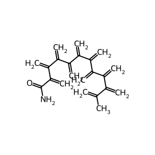 C=C(C)C(=C)C(=C)C(=C)C(=C)C(=C)C(=C)C(=C)C(=C)C(=C)C(N)=O